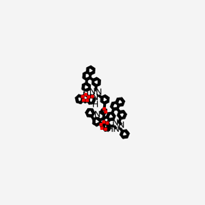 c1ccc(C2=NC(c3cccc(-c4c(-c5ccc6c(c5)C5(c7ccccc7-6)c6ccc(-c7cccc(C8=NC(c9cccc(-c%10c(-c%11ccc(-n%12c%13ccccc%13c%13ccccc%13%12)cc%11)ccc%11ccccc%10%11)c9)=NC(c9ccccc9)N8)c7)cc6-n6c7ccccc7c7cccc5c76)ccc5ccccc45)c3)=NC(c3ccccc3)N2)cc1